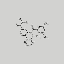 CCN(CC)C(=O)c1ccc(-c2nccnc2C(C)NC(=O)c2cc(C(F)(F)F)cc(C(F)(F)F)c2)nc1